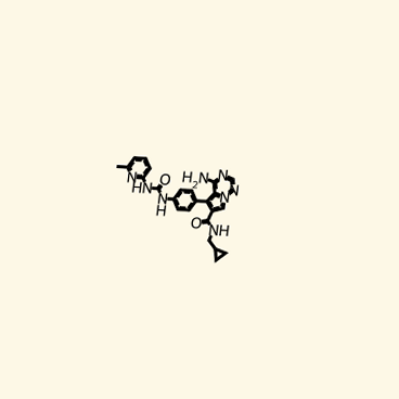 Cc1cccc(NC(=O)Nc2ccc(-c3c(C(=O)NCC4CC4)cn4ncnc(N)c34)cc2)n1